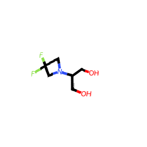 OCC(CO)N1CC(F)(F)C1